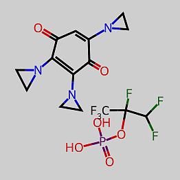 O=C1C=C(N2CC2)C(=O)C(N2CC2)=C1N1CC1.O=P(O)(O)OC(F)(C(F)F)C(F)(F)F